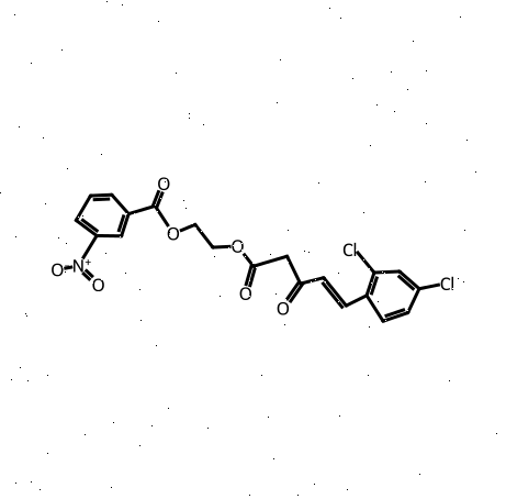 O=C(C=Cc1ccc(Cl)cc1Cl)CC(=O)OCCOC(=O)c1cccc([N+](=O)[O-])c1